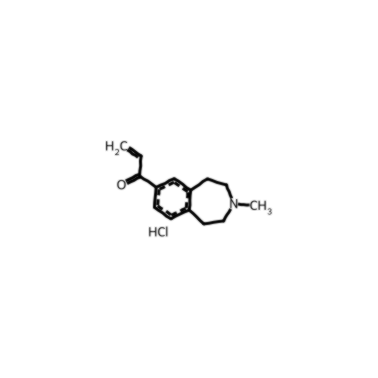 C=CC(=O)c1ccc2c(c1)CCN(C)CC2.Cl